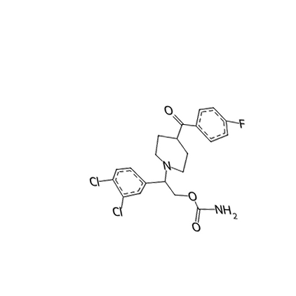 NC(=O)OCC(c1ccc(Cl)c(Cl)c1)N1CCC(C(=O)c2ccc(F)cc2)CC1